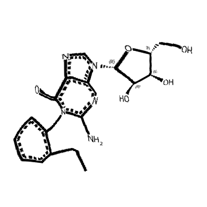 CCc1ccccc1-n1c(N)nc2c(ncn2[C@@H]2O[C@H](CO)[C@@H](O)[C@H]2O)c1=O